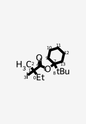 CCC(C)(I)C(=O)OC1(C(C)(C)C)CCCCC1